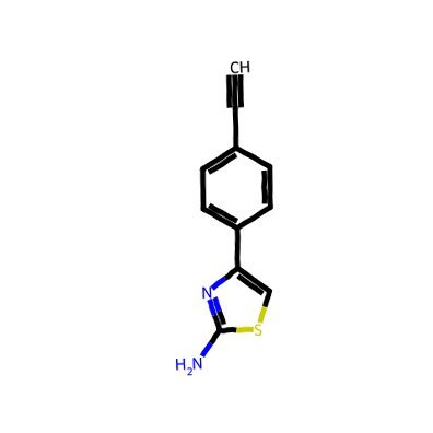 C#Cc1ccc(-c2csc(N)n2)cc1